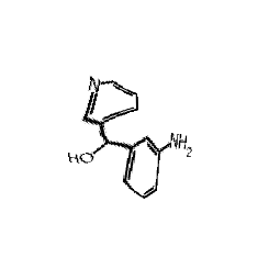 Nc1cccc(C(O)c2cccnc2)c1